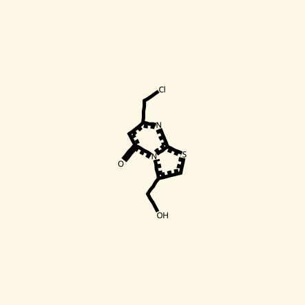 O=c1cc(CCl)nc2scc(CO)n12